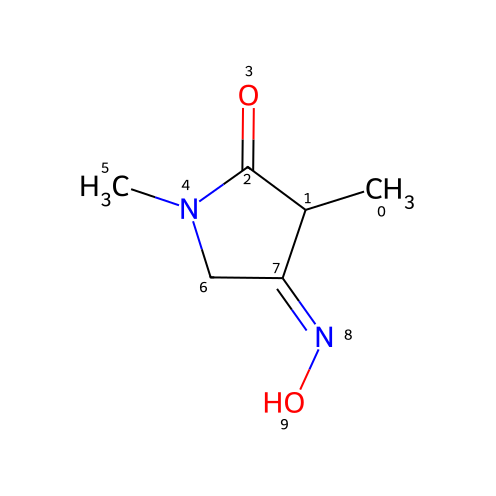 CC1C(=O)N(C)CC1=NO